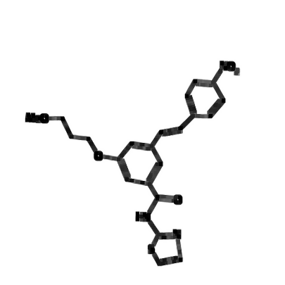 COCCCOc1cc(/C=C/c2ccc([N+](=O)[O-])cc2)cc(C(=O)Nc2nccs2)c1